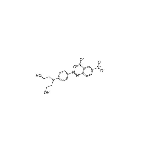 O=[N+]([O-])c1ccc(N=Nc2ccc(N(CCO)CCO)cc2)c([N+](=O)[O-])c1